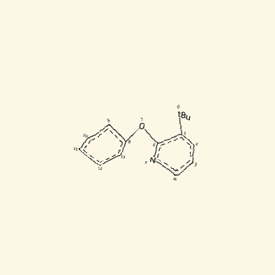 CC(C)(C)c1cccnc1Oc1ccccc1